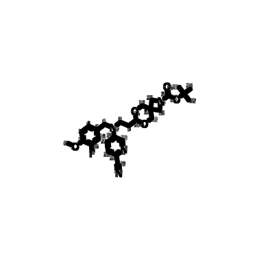 COc1ccc(CN(CCC2OCC3(CO2)CN(C(=O)OC(C)(C)C)C3)c2ccc(C#N)nc2)cc1F